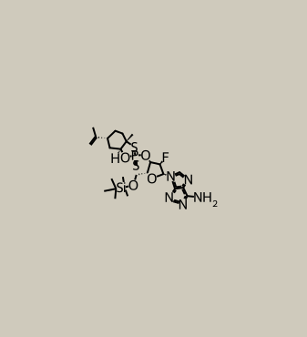 C=C(C)[C@@H]1CC[C@]2(C)SP(=S)(O[C@H]3[C@@H](F)[C@H](n4cnc5c(N)ncnc54)O[C@@H]3CO[Si](C)(C)C(C)(C)C)O[C@H]2C1